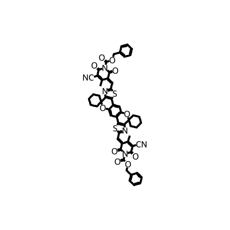 CC1=C(C#N)C(=O)N(C(=O)OCc2ccccc2)C(=O)/C1=C/c1nc2c(s1)-c1cc3c(cc1OC21CCCCC1)-c1sc(/C=C2/C(=O)N(C(=O)OCc4ccccc4)C(=O)C(C#N)=C2C)nc1C1(CCCCC1)O3